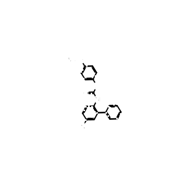 COc1ccc(OC(=O)Nc2ccc(N)cc2-c2ccccc2)cc1